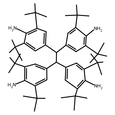 CC(C)(C)c1cc(C(c2cc(C(C)(C)C)c(N)c(C(C)(C)C)c2)C(c2cc(C(C)(C)C)c(N)c(C(C)(C)C)c2)c2cc(C(C)(C)C)c(N)c(C(C)(C)C)c2)cc(C(C)(C)C)c1N